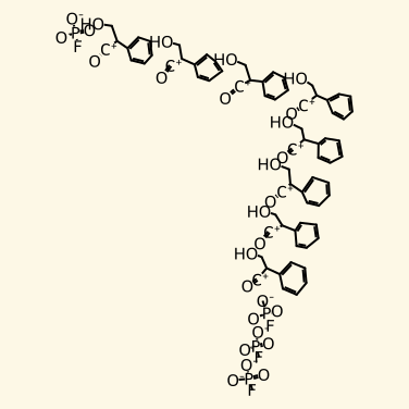 O=P([O-])([O-])F.O=P([O-])([O-])F.O=P([O-])([O-])F.O=P([O-])([O-])F.O=[C+]C(CO)c1ccccc1.O=[C+]C(CO)c1ccccc1.O=[C+]C(CO)c1ccccc1.O=[C+]C(CO)c1ccccc1.O=[C+]C(CO)c1ccccc1.O=[C+]C(CO)c1ccccc1.O=[C+]C(CO)c1ccccc1.O=[C+]C(CO)c1ccccc1